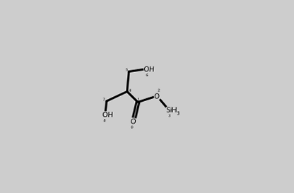 O=C(O[SiH3])C(CO)CO